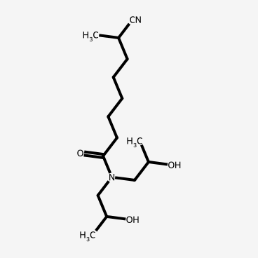 CC(O)CN(CC(C)O)C(=O)CCCCCC(C)C#N